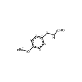 CCCCOc1ccc(CNC=O)cc1